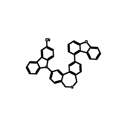 N#Cc1ccc2c(c1)c1ccccc1n2-c1ccc2c(c1)-c1cc(-c3cccc4oc5ccccc5c34)ccc1CSC2